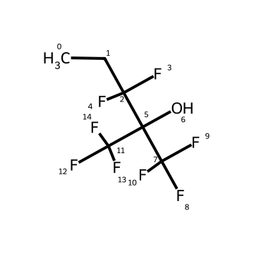 CCC(F)(F)C(O)(C(F)(F)F)C(F)(F)F